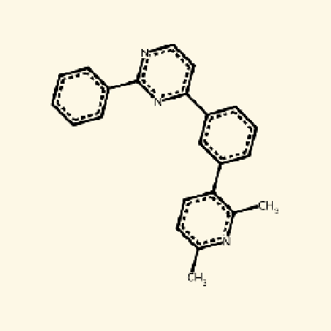 Cc1ccc(-c2cccc(-c3ccnc(-c4ccccc4)n3)c2)c(C)n1